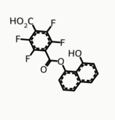 O=C(O)c1c(F)c(F)c(C(=O)Oc2cccc3cccc(O)c23)c(F)c1F